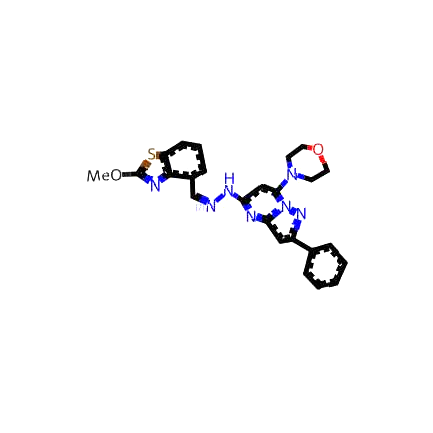 COc1nc2c(/C=N\Nc3cc(N4CCOCC4)n4nc(-c5ccccc5)cc4n3)cccc2s1